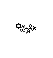 CC(C)(C)OC(=O)[C@@H](N)CCS(=O)(=O)c1ccccc1